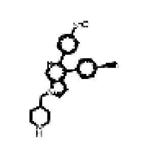 N#Cc1ccc(-c2c(-c3ccc([S+]=O)cc3)ncc3c2ccn3CC2CCNCC2)cc1